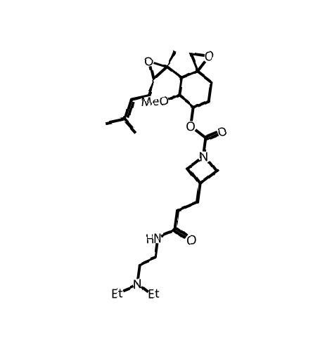 CCN(CC)CCNC(=O)CCC1CN(C(=O)OC2CCC3(CO3)C([C@@]3(C)O[C@@H]3CC=C(C)C)C2OC)C1